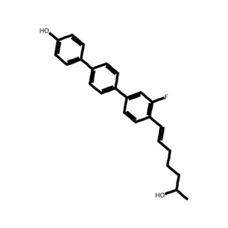 CC(O)CCCC=Cc1ccc(-c2ccc(-c3ccc(O)cc3)cc2)cc1F